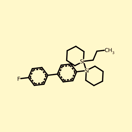 CCC[Si]1([Si]2(c3ccc(-c4ccc(F)cc4)cc3)CCCCC2)CCCCC1